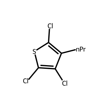 C[CH]Cc1c(Cl)sc(Cl)c1Cl